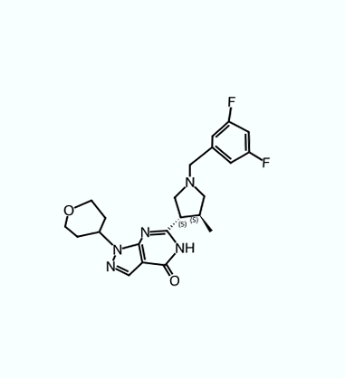 C[C@@H]1CN(Cc2cc(F)cc(F)c2)C[C@H]1c1nc2c(cnn2C2CCOCC2)c(=O)[nH]1